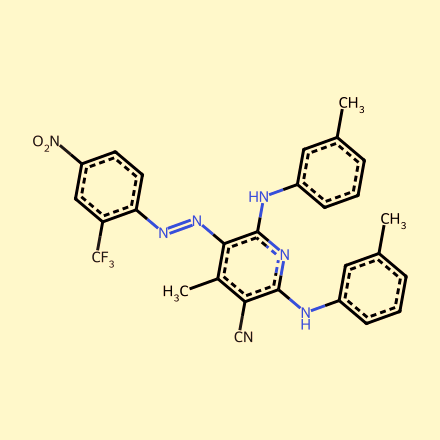 Cc1cccc(Nc2nc(Nc3cccc(C)c3)c(N=Nc3ccc([N+](=O)[O-])cc3C(F)(F)F)c(C)c2C#N)c1